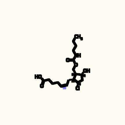 CCCCNC(=O)OC[C@@H]1[C@@H](C/C=C\CCCC(=O)O)[C@@H](Cl)C[C@H]1O